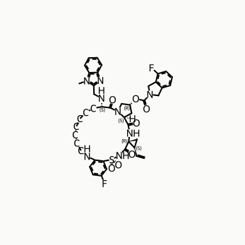 C=C[C@@H]1C[C@@]12NC(=O)[C@@H]1C[C@@H](OC(=O)N3Cc4cccc(F)c4C3)CN1C(=O)[C@@H](NCc1nc3ccccc3n1C)CCCCCCCNc1ccc(F)cc1S(=O)(=O)NC2=O